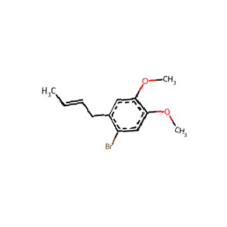 C/C=C/Cc1cc(OC)c(OC)cc1Br